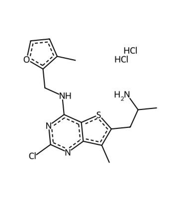 Cc1ccoc1CNc1nc(Cl)nc2c(C)c(CC(C)N)sc12.Cl.Cl